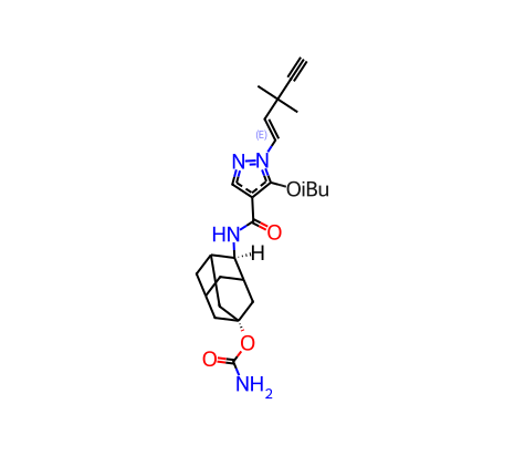 C#CC(C)(C)/C=C/n1ncc(C(=O)N[C@H]2C3CC4CC2C[C@](OC(N)=O)(C4)C3)c1OCC(C)C